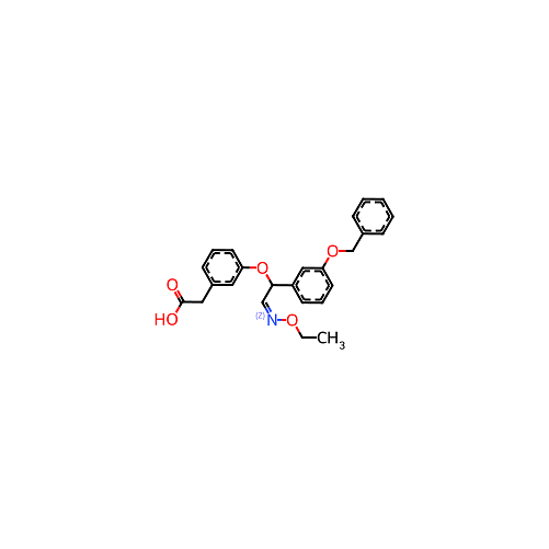 CCO/N=C\C(Oc1cccc(CC(=O)O)c1)c1cccc(OCc2ccccc2)c1